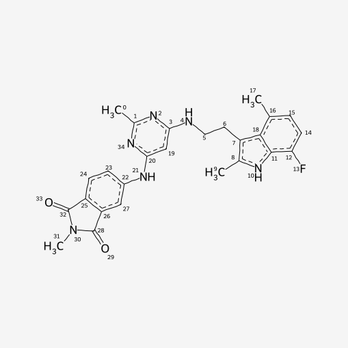 Cc1nc(NCCc2c(C)[nH]c3c(F)ccc(C)c23)cc(Nc2ccc3c(c2)C(=O)N(C)C3=O)n1